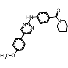 COc1ccc(-c2cnc(Nc3ccc(C(=O)N4CCCCC4)cc3)nc2)cc1